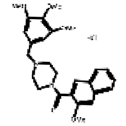 COc1cc2ccccc2cc1C(=O)N1CCN(Cc2cc(OC)c(OC)c(OC)c2)CC1.Cl